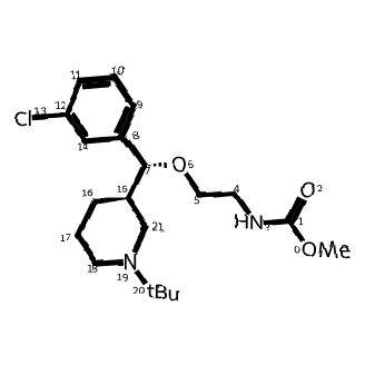 COC(=O)NCCO[C@@H](c1cccc(Cl)c1)[C@@H]1CCCN(C(C)(C)C)C1